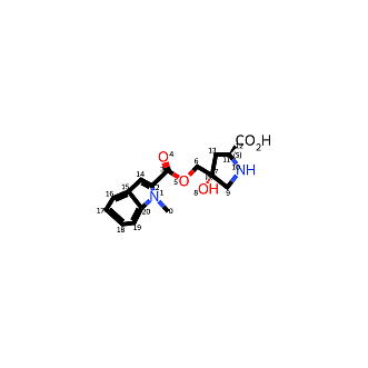 Cn1c(C(=O)OC[C@]2(O)CN[C@H](C(=O)O)C2)cc2ccccc21